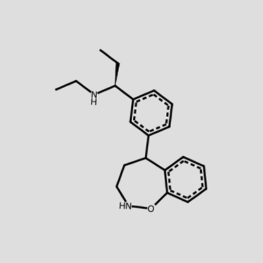 CCN[C@@H](CC)c1cccc(C2CCNOc3ccccc32)c1